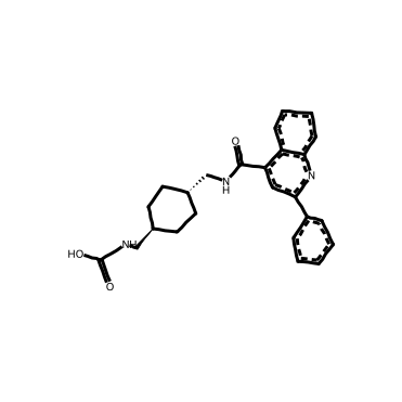 O=C(O)NC[C@H]1CC[C@H](CNC(=O)c2cc(-c3ccccc3)nc3ccccc23)CC1